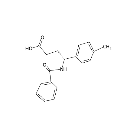 Cc1ccc([C@@H](CCC(=O)O)NC(=O)c2ccccc2)cc1